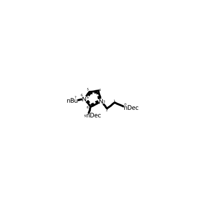 CCCCCCCCCCCCn1cc[n+](CCCC)c1CCCCCCCCCC